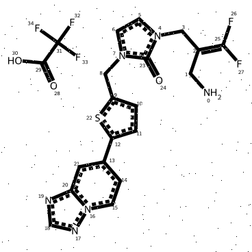 NCC(Cn1ccn(Cc2ccc(-c3ccn4ncnc4c3)s2)c1=O)=C(F)F.O=C(O)C(F)(F)F